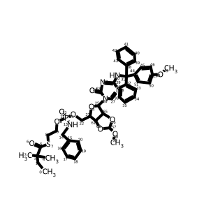 CCC(C)(C)C(=O)SCCOP(=O)(NCc1ccccc1)OCC1OC(n2cnc(NC(c3ccccc3)(c3ccccc3)c3ccc(OC)cc3)nc2=O)C2OC(OC)OC12